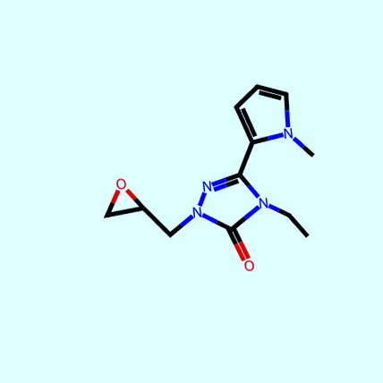 CCn1c(-c2cccn2C)nn(CC2CO2)c1=O